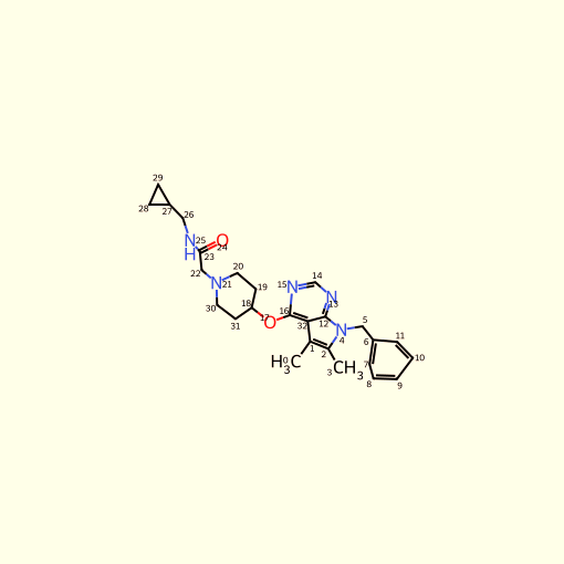 Cc1c(C)n(Cc2ccccc2)c2ncnc(OC3CCN(CC(=O)NCC4CC4)CC3)c12